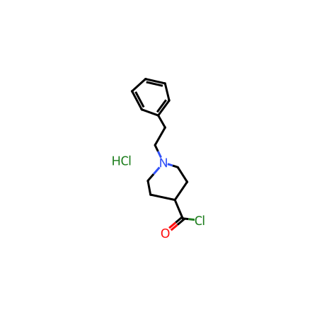 Cl.O=C(Cl)C1CCN(CCc2ccccc2)CC1